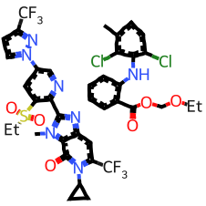 CCOCOC(=O)c1ccccc1Nc1c(Cl)ccc(C)c1Cl.CCS(=O)(=O)c1cc(-n2ccc(C(F)(F)F)n2)cnc1-c1nc2cc(C(F)(F)F)n(C3CC3)c(=O)c2n1C